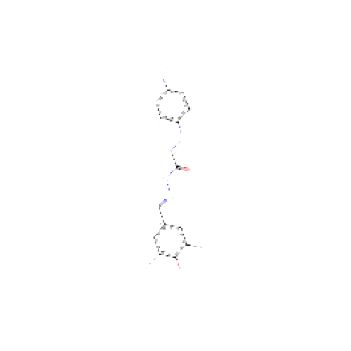 O=C(CNc1ccc(I)cc1)N/N=C/c1cc(Br)c(O)c(Br)c1